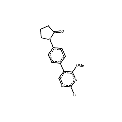 COc1nc(Cl)ncc1-c1ccc(N2CCCC2=O)cc1